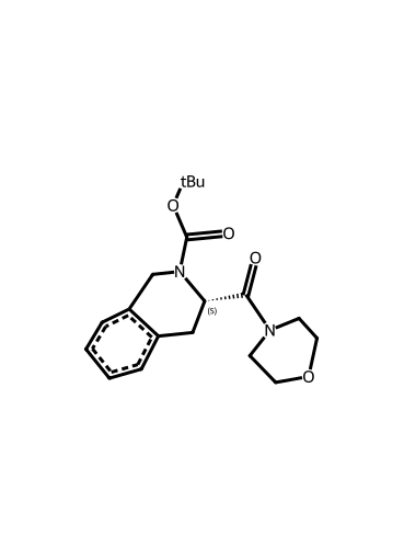 CC(C)(C)OC(=O)N1Cc2ccccc2C[C@H]1C(=O)N1CCOCC1